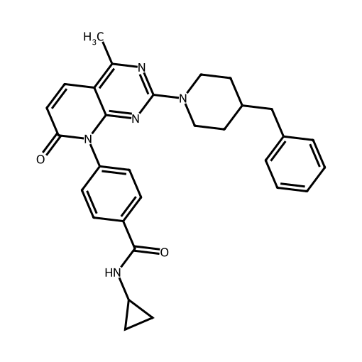 Cc1nc(N2CCC(Cc3ccccc3)CC2)nc2c1ccc(=O)n2-c1ccc(C(=O)NC2CC2)cc1